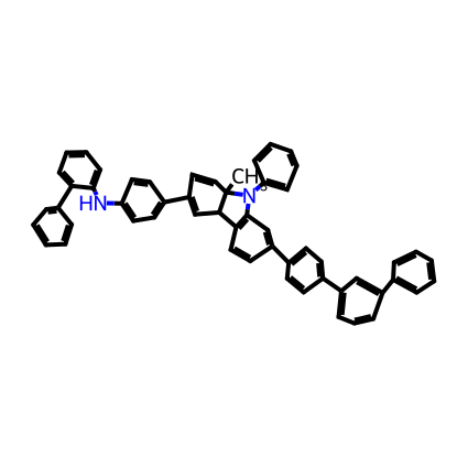 CC12C=CC(c3ccc(Nc4ccccc4-c4ccccc4)cc3)=CC1c1ccc(-c3ccc(-c4cccc(-c5ccccc5)c4)cc3)cc1N2c1ccccc1